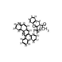 CC(=O)C(Cc1ccccc1)C(=O)C(F)(F)F.c1ccc(-c2cc3ccc4ncccc4c3nc2-c2ccccc2)cc1